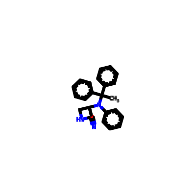 CC(c1ccccc1)(c1ccccc1)N(c1ccccc1)C1(C#N)CNC1